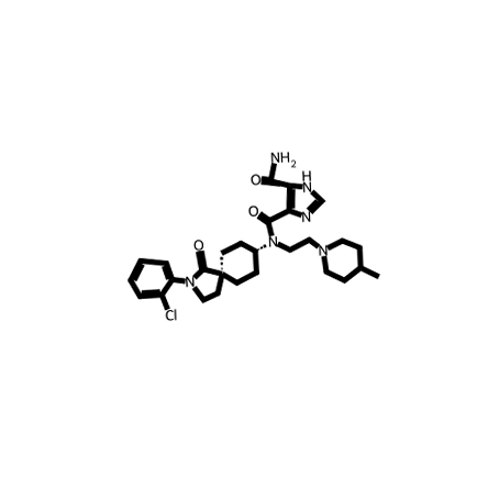 CC1CCN(CCN(C(=O)c2nc[nH]c2C(N)=O)[C@H]2CC[C@@]3(CCN(c4ccccc4Cl)C3=O)CC2)CC1